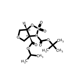 CC(C)OC(=O)[C@@]12COC[C@@H]1OS(=O)(=O)N2C(=O)OC(C)(C)C